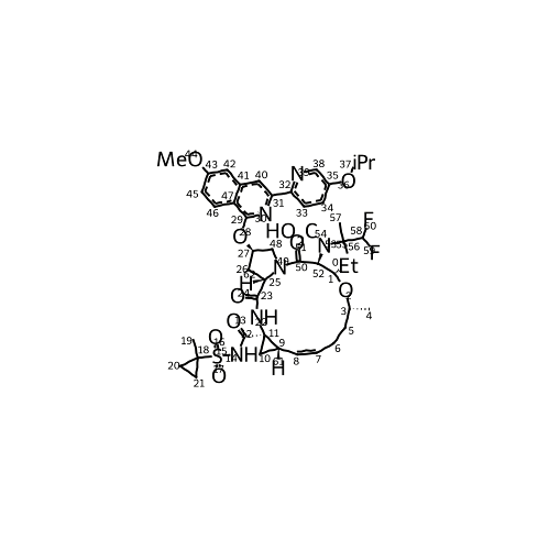 CC[C@@H]1O[C@H](C)CC/C=C\[C@@H]2C[C@@]2(C(=O)NS(=O)(=O)C2(C)CC2)NC(=O)[C@@H]2C[C@@H](Oc3nc(-c4ccc(OC(C)C)cn4)cc4cc(OC)ccc34)CN2C(=O)[C@H]1N(C(=O)O)C(C)(C)C(F)F